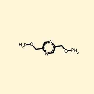 POCc1cnc(COP)cn1